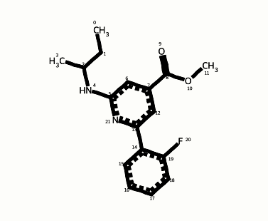 CCC(C)Nc1cc(C(=O)OC)cc(-c2ccccc2F)n1